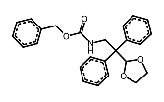 O=C(NCC(c1ccccc1)(c1ccccc1)C1OCCO1)OCc1ccccc1